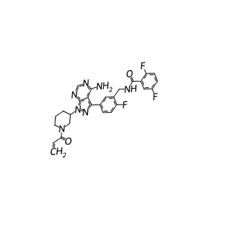 C=CC(=O)N1CCCC(n2nc(-c3ccc(F)c(CNC(=O)c4cc(F)ccc4F)c3)c3c(N)ncnc32)C1